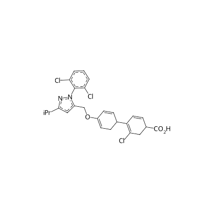 CC(C)c1cc(COC2=CCC(C3=C(Cl)CC(C(=O)O)C=C3)C=C2)n(-c2c(Cl)cccc2Cl)n1